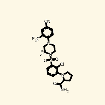 C[C@@H]1CN(c2ccc(C#N)cc2C(F)(F)F)CCN1S(=O)(=O)c1cccc(N2CCCC2C(N)=O)c1Cl